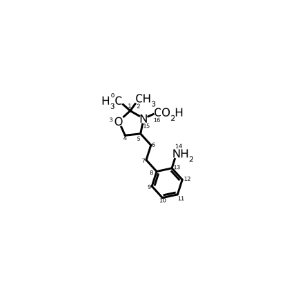 CC1(C)OCC(CCc2ccccc2N)N1C(=O)O